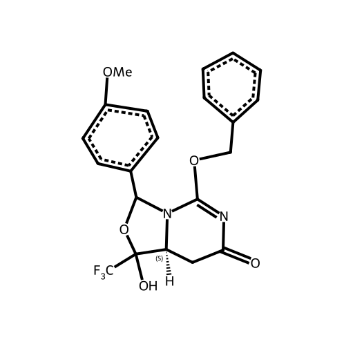 COc1ccc(C2OC(O)(C(F)(F)F)[C@@H]3CC(=O)N=C(OCc4ccccc4)N23)cc1